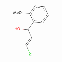 COc1ccccc1C(O)C=CCl